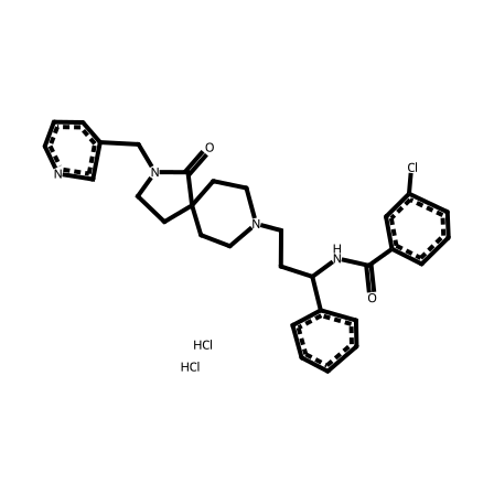 Cl.Cl.O=C(NC(CCN1CCC2(CC1)CCN(Cc1cccnc1)C2=O)c1ccccc1)c1cccc(Cl)c1